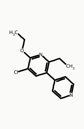 CCOc1nc(CC)c(-c2ccncc2)cc1Cl